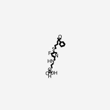 O=[PH](O)OCCCNCc1cc(F)c(SCCCCC2(c3ccccc3)COC2)cn1